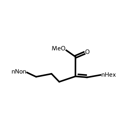 CCCCCCC=C(CCCCCCCCCCCC)C(=O)OC